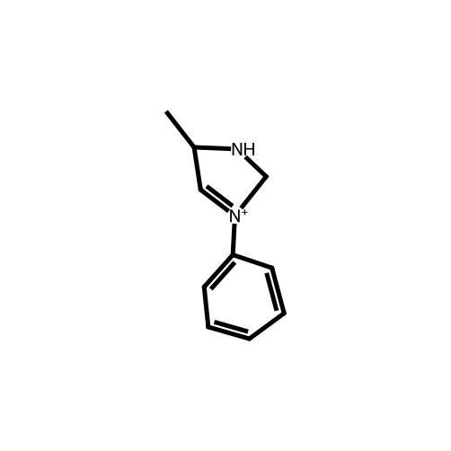 CC1C=[N+](c2ccccc2)CN1